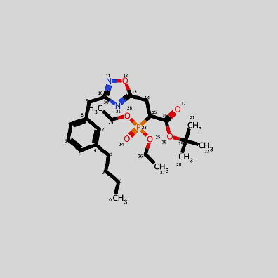 CCCCc1cccc(Cc2noc(CC(C(=O)OC(C)(C)C)P(=O)(OCC)OCC)n2)c1